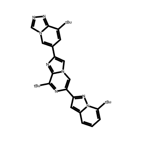 CC(C)(C)c1cc(-c2cn3cc(-c4cc5cccc(C(C)(C)C)n5n4)nc(C(C)(C)C)c3n2)cn2cnnc12